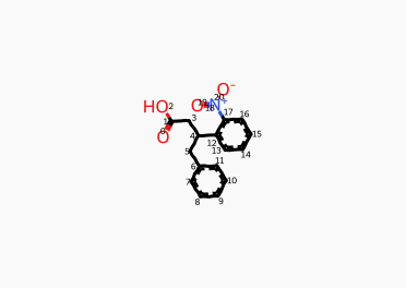 O=C(O)CC(Cc1ccccc1)c1ccccc1[N+](=O)[O-]